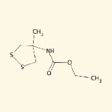 CCOC(=O)NC1(C)CSSC1